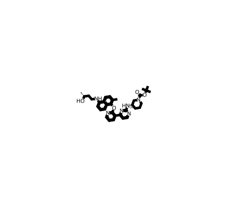 Cc1ccc2c(NCC[C@@H](C)O)cccc2c1Oc1ncccc1-c1ccnc(N[C@H]2CCCN(C(=O)OC(C)(C)C)C2)n1